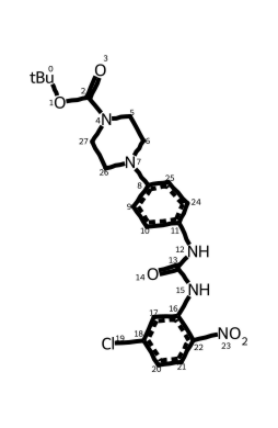 CC(C)(C)OC(=O)N1CCN(c2ccc(NC(=O)Nc3cc(Cl)ccc3[N+](=O)[O-])cc2)CC1